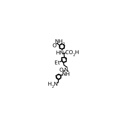 CCc1cc(C(Nc2cccc(C(N)=O)c2)C(=O)O)ccc1CCN(C)C(=O)Nc1cccc(CN)c1